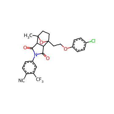 CC12CCC(CCOc3ccc(Cl)cc3)(O1)C1C(=O)N(c3ccc(C#N)c(C(F)(F)F)c3)C(=O)C12